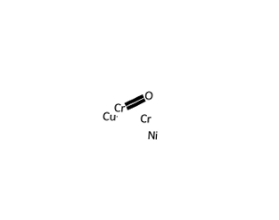 [Cr].[Cu].[Ni].[O]=[Cr]